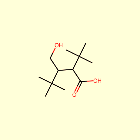 CC(C)(C)C(CO)C(C(=O)O)C(C)(C)C